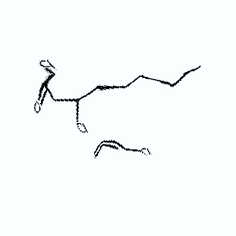 C=CCl.CCCCCC(Cl)C(=O)Cl